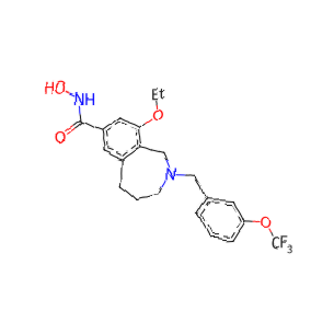 CCOc1cc(C(=O)NO)cc2c1CN(Cc1cccc(OC(F)(F)F)c1)CCC2